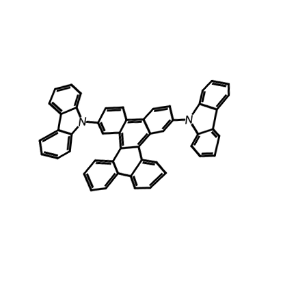 c1ccc2c(c1)c1ccccc1c1c3cc(-n4c5ccccc5c5ccccc54)ccc3c3ccc(-n4c5ccccc5c5ccccc54)cc3c21